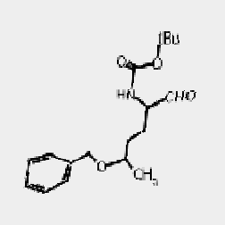 CC(CCC(C=O)NC(=O)OC(C)(C)C)OCc1ccccc1